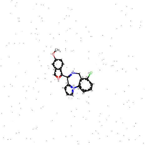 COc1ccc2c(C3=NCc4c(Cl)cccc4-n4cccc43)occ2c1